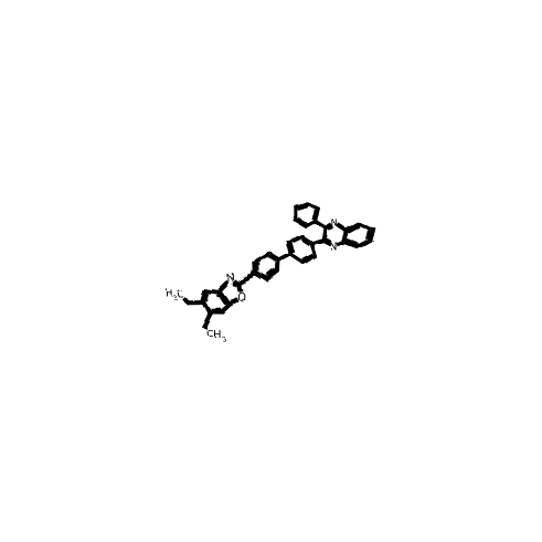 CCc1cc2nc(-c3ccc(-c4ccc(-c5nc6ccccc6nc5-c5ccccc5)cc4)cc3)oc2cc1CC